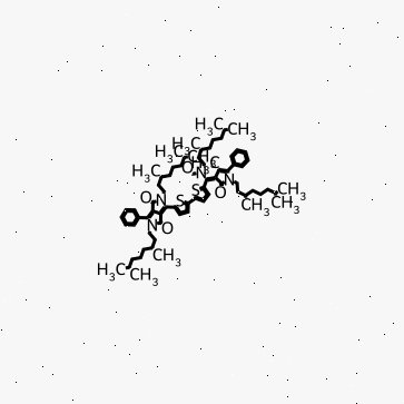 CC1=C(c2ccccc2)N(CCC(C)CCCC(C)C)C(=O)/C1=C(\c1ccc(-c2ccc(C3=C4C(=O)N(CCC(C)CCCC(C)C)C(c5ccccc5)=C4C(=O)N3CCC(C)CCCC(C)C)s2)s1)N(C=O)CCC(C)CCCC(C)C